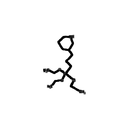 CCO[Si](CCCC1CCCNC1)(OCC)OCC